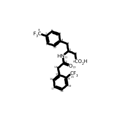 O=C(O)CC(Cc1ccc(C(F)(F)F)cc1)NC(=O)Cc1ccccc1C(F)(F)F